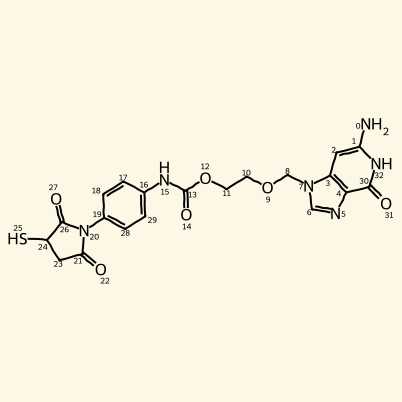 Nc1cc2c(ncn2COCCOC(=O)Nc2ccc(N3C(=O)CC(S)C3=O)cc2)c(=O)[nH]1